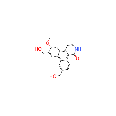 COc1cc2c(cc1CO)c1cc(CO)ccc1c1c(=O)[nH]ccc21